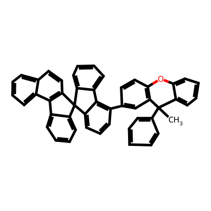 CC1(c2ccccc2)c2ccccc2Oc2ccc(-c3cccc4c3-c3ccccc3C43c4ccccc4-c4c3ccc3ccccc43)cc21